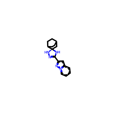 c1ccn2nc(C3=NN[C@@]4(CC5CCC4CC5)N3)cc2c1